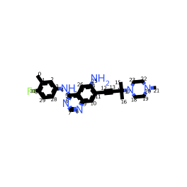 Cc1cc(Nc2ncnc3cc(C#CC(C)(C)N4CCN(C)CC4)c(N)cc23)ccc1F